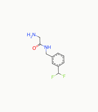 NCC(=O)NCc1cccc(C(F)F)c1